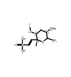 BC1O[C@](C)(/C=C/P(=O)(O)O)[C@@H](OI)C[C@H]1OC